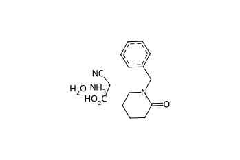 N.N#CCC(=O)O.O.O=C1CCCCN1Cc1ccccc1